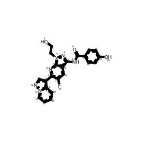 O=C(Nc1nn(CCO)c2nc(-c3cnn4ccccc34)c(F)cc12)c1ccc(O)cc1